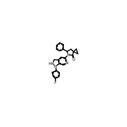 O=C1N(c2cc3c(cn2)N(c2ccc(F)cc2)NC3)C(c2ccccc2)CC12CC2